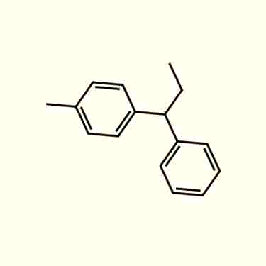 CC[C](c1ccccc1)c1ccc(C)cc1